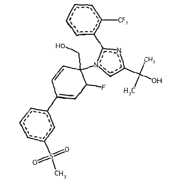 CC(C)(O)c1cn(C2(CO)C=CC(c3cccc(S(C)(=O)=O)c3)=CC2F)c(-c2ccccc2C(F)(F)F)n1